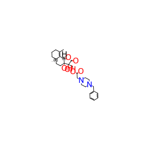 CC1=C2[C@@H]3OC(=O)C(O)(COC(=O)CN4CCN(Cc5ccccc5)CC4)C3(O)CC[C@@]2(C)CCC1